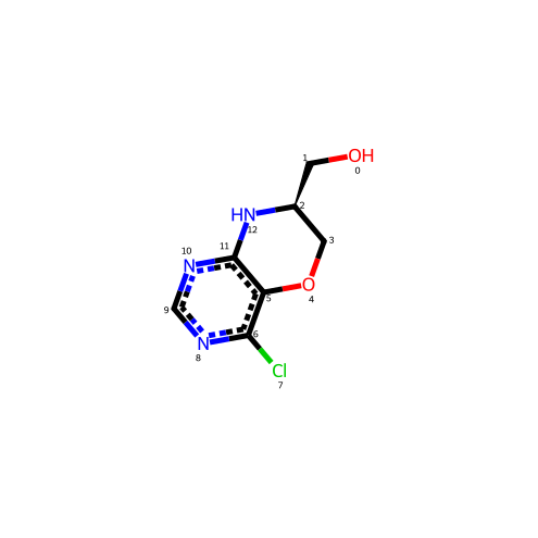 OC[C@H]1COc2c(Cl)ncnc2N1